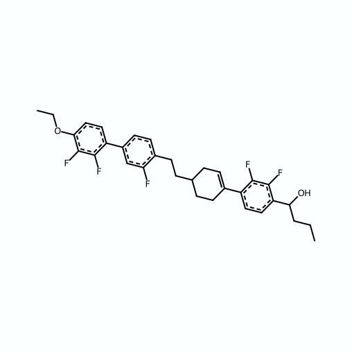 CCCC(O)c1ccc(C2=CCC(CCc3ccc(-c4ccc(OCC)c(F)c4F)cc3F)CC2)c(F)c1F